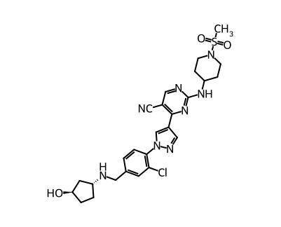 CS(=O)(=O)N1CCC(Nc2ncc(C#N)c(-c3cnn(-c4ccc(CN[C@@H]5CC[C@@H](O)C5)cc4Cl)c3)n2)CC1